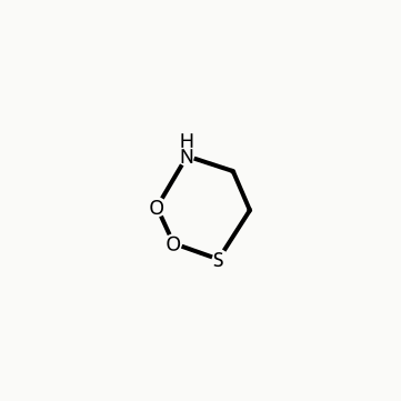 C1CSOON1